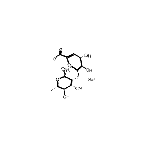 C[C@@H]1O[C@@H](O)[C@H](O[C@H]2OC(C(=O)[O-])=C[C@H](O)[C@H]2O)[C@H](O)[C@H]1O.[Na+]